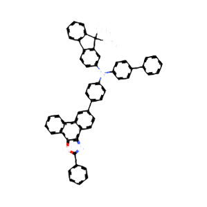 CC1(C)c2ccccc2-c2ccc(N(c3ccc(-c4ccccc4)cc3)c3ccc(-c4ccc5c(c4)c4ccccc4c4oc(-c6ccccc6)nc54)cc3)cc21